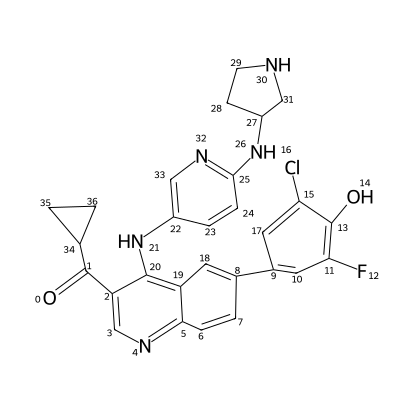 O=C(c1cnc2ccc(-c3cc(F)c(O)c(Cl)c3)cc2c1Nc1ccc(NC2CCNC2)nc1)C1CC1